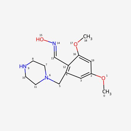 COc1cc(CN2CCNCC2)c(C=NO)c(OC)c1